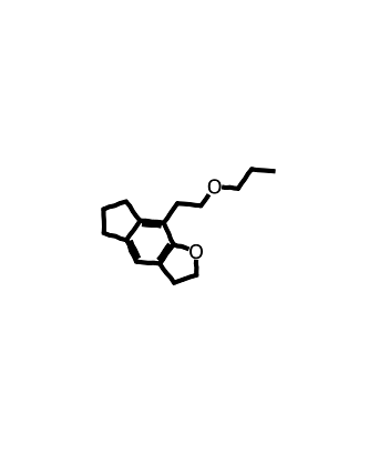 CCCOCCc1c2c(cc3c1OCC3)CCC2